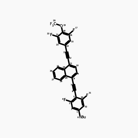 CCCCc1cc(F)c(C#Cc2ccc(C#Cc3cc(F)c(OC(F)(F)F)c(F)c3)c3ccccc23)c(F)c1